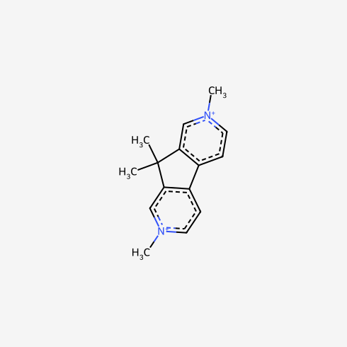 C[n+]1ccc2c(c1)C(C)(C)c1c[n+](C)ccc1-2